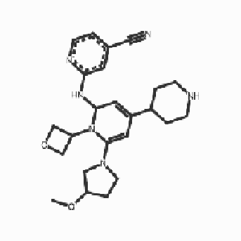 COC1CCN(C2=CC(C3CCNCC3)=CC(Nc3cc(C#N)ccn3)N2C2COC2)C1